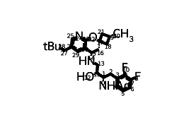 CC(=O)N[C@@H](Cc1cccc(F)c1F)[C@H](O)CN[C@H]1C[C@]2(C[C@H](C)C2)Oc2ncc(CC(C)(C)C)cc21